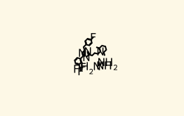 CC1CCCC(C)N1CCCc1nc(Cc2ccc(F)cc2)nc(-c2cccc(C(F)(F)F)c2)n1.NNN